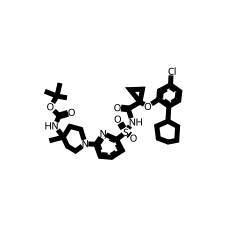 CC1(NC(=O)OC(C)(C)C)CCN(c2cccc(S(=O)(=O)NC(=O)C3(Oc4cc(Cl)ccc4C4CCCCC4)CC3)n2)CC1